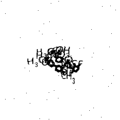 CCS(=O)(=O)c1ccc(-c2ccc(OC)c(CN(C(=O)c3sc4c(F)ccc(F)c4c3Cl)C3CCC(CN(C(=O)O)C(C)(C)C)CC3)c2)cc1